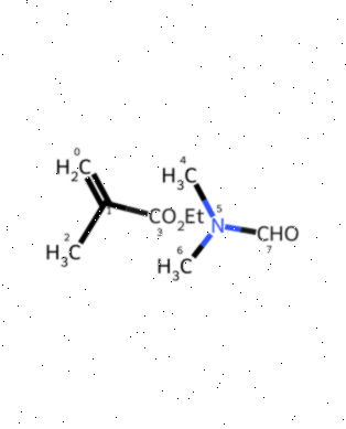 C=C(C)C(=O)OCC.CN(C)C=O